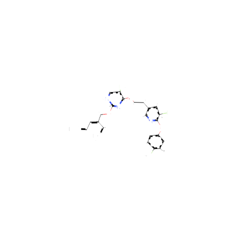 C=C/C=C(\C=C)COc1ncc(F)c(OCCc2cnc(Oc3ccc(F)c(C(F)(F)F)c3)c(F)c2)n1